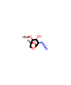 CCCCO[C@H]1[C@H](O)[C@@H](N=[N+]=[N-])C2OC[C@H]1O2